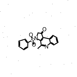 Cc1nc2ccccc2c2c1N(S(=O)(=O)c1ccccc1)CC2=O